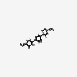 Cc1ccc(-c2cnc(-c3ccc(C)nn3)cn2)cc1